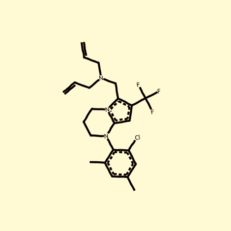 C=CCN(CC=C)Cc1c(C(F)(F)F)cc2n1CCCN2c1c(C)cc(C)cc1Cl